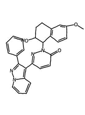 COc1ccc2c(c1)CCC(O)C2n1nc(-c2c(-c3ccccc3)nn3ccccc23)ccc1=O